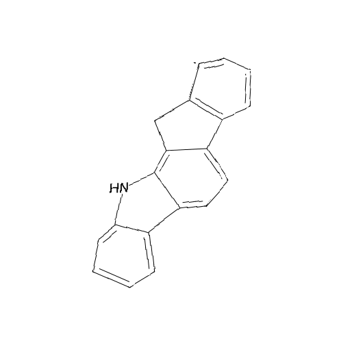 [c]1cccc2c1Cc1c-2ccc2c1[nH]c1ccccc12